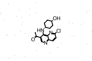 CC(=O)c1cnc2ccc(Cl)nc2c1N[C@H]1CC[C@H](O)CC1